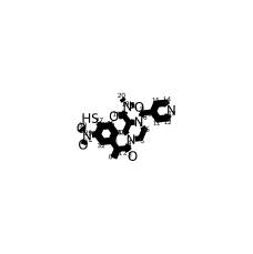 C=C(C(=O)N1CCN(C(=O)c2ccncc2)C(C(=O)N(C)C)C1)c1ccc(S)c([N+](=O)[O-])c1